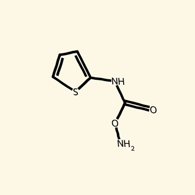 NOC(=O)Nc1cccs1